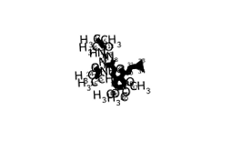 COc1cc(CCc2cnc(NC(=O)C(C)(C)C)nc2NC(=O)C(C)(C)C)c(C(=O)C=CC2CC2)c(OC)c1OC